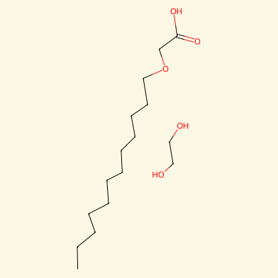 CCCCCCCCCCCCOCC(=O)O.OCCO